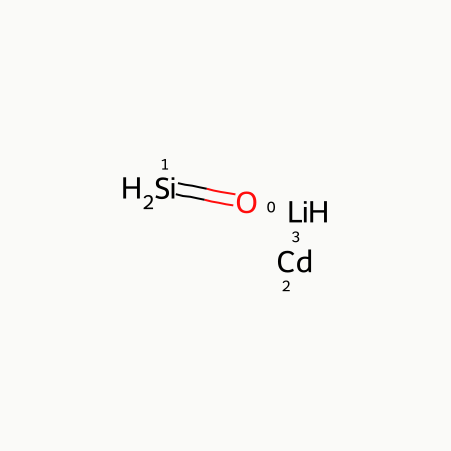 O=[SiH2].[Cd].[LiH]